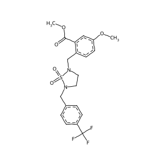 COC(=O)c1cc(OC)ccc1CN1CCN(Cc2ccc(C(F)(F)F)cc2)S1(=O)=O